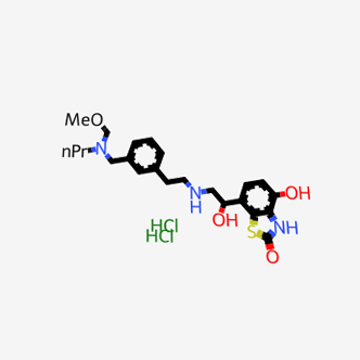 CCCN(COC)Cc1cccc(CCNCC(O)c2ccc(O)c3[nH]c(=O)sc23)c1.Cl.Cl